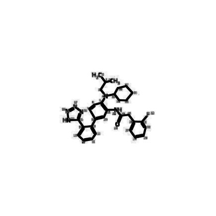 CC(C)CN(c1ccc(-c2ccccc2-c2nnn[nH]2)cc1NC(=O)Cc1ccccc1F)C1CCCCC1